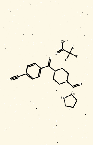 N#Cc1ccc(C(=O)N2CCN(C(=O)[C@@H]3CCCN3)CC2)cc1.O=C(O)C(F)(F)F